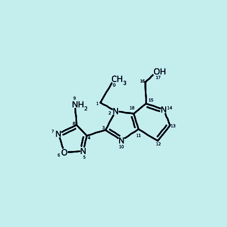 CCn1c(-c2nonc2N)nc2ccnc(CO)c21